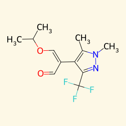 Cc1c(C(C=O)=COC(C)C)c(C(F)(F)F)nn1C